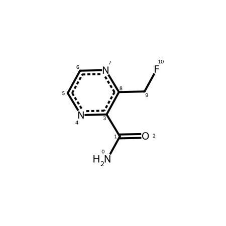 NC(=O)c1nccnc1CF